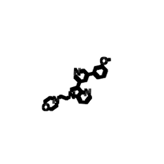 COc1cccc(-c2cncc(-c3cn(CCN4CCOCC4)c4cccnc34)c2)c1